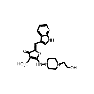 O=C(O)C1=C(NN2CCN(CCO)CC2)OC(=Cc2c[nH]c3ncccc23)C1=O